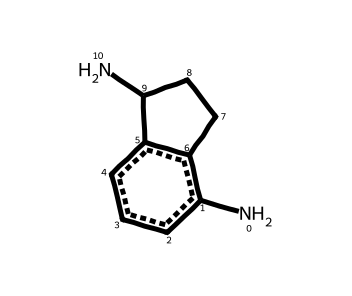 Nc1cccc2c1CCC2N